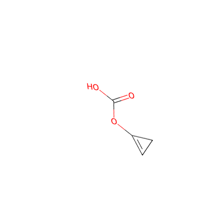 O=C(O)OC1=CC1